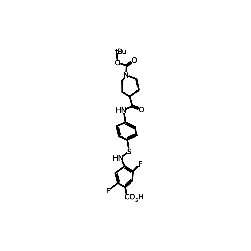 CC(C)(C)OC(=O)N1CCC(C(=O)Nc2ccc(SNc3cc(F)c(C(=O)O)cc3F)cc2)CC1